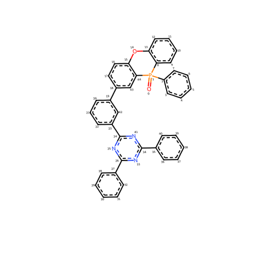 O=P1(c2ccccc2)c2ccccc2Oc2ccc(-c3cccc(-c4nc(-c5ccccc5)nc(-c5ccccc5)n4)c3)cc21